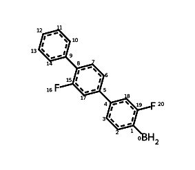 Bc1ccc(-c2ccc(-c3ccccc3)c(F)c2)cc1F